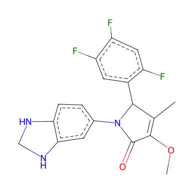 COC1=C(C)C(c2cc(F)c(F)cc2F)N(c2ccc3c(c2)NCN3)C1=O